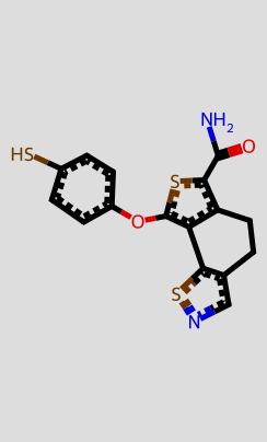 NC(=O)c1sc(Oc2ccc(S)cc2)c2c1CCc1cnsc1-2